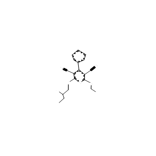 CCNc1nc(SCC(O)CO)c(C#N)c(-c2ccccc2)c1C#N